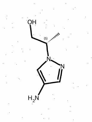 C[C@@H](CO)n1cc(N)cn1